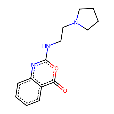 O=c1oc(NCCN2CCCC2)nc2ccccc12